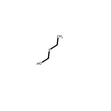 CCS[CH]O